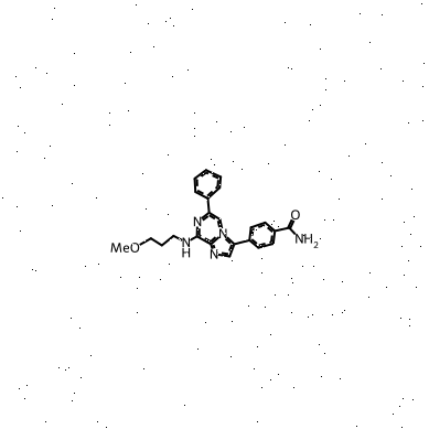 COCCCNc1nc(-c2ccccc2)cn2c(-c3ccc(C(N)=O)cc3)cnc12